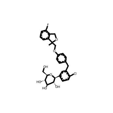 CC1(COc2ccc(Cc3cc([C@@H]4O[C@H](CO)[C@@H](O)[C@H](O)[C@H]4O)ccc3Cl)cc2)OCc2c(F)cccc21